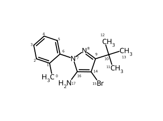 Cc1ccccc1-n1nc(C(C)(C)C)c(Br)c1N